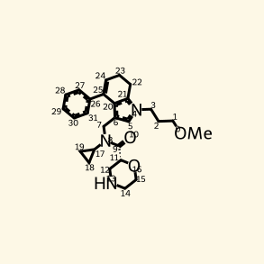 COCCCn1cc(CN(C(=O)[C@H]2CNCCO2)C2CC2)c2c1CCC=C2c1ccccc1